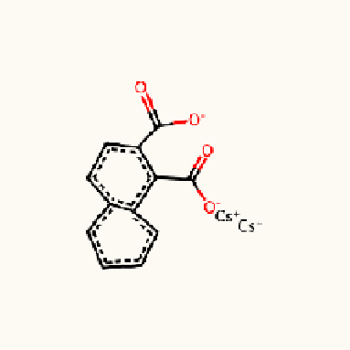 O=C([O-])c1ccc2ccccc2c1C(=O)[O-].[Cs+].[Cs+]